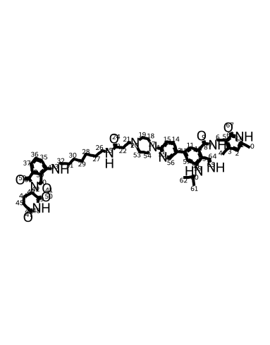 Cc1cc(C)c(CNC(=O)c2cc(-c3ccc(N4CCN(CCC(=O)NCCCCCCCNc5cccc6c5C(=O)N(C5CCC(=O)NC5=O)C6=O)CC4)nc3)cc(NC(C)C)c2C=N)c(=O)[nH]1